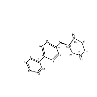 c1ccc(-c2ccc(C[C@@H]3CNCCN3)cc2)cc1